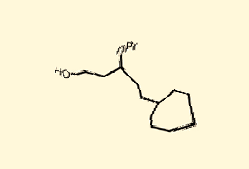 CCCC(CCO)CCC1CCCCC1